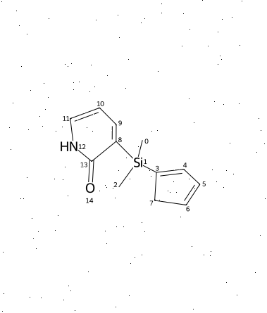 C[Si](C)(C1=CC=CC1)c1ccc[nH]c1=O